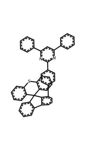 c1ccc(-c2cc(-c3ccccc3)nc(-c3ccc(-c4cccc5c4C4(c6ccccc6Sc6ccccc64)c4ccccc4-5)cc3)n2)cc1